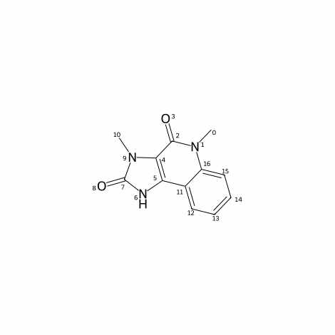 Cn1c(=O)c2c([nH]c(=O)n2C)c2ccccc21